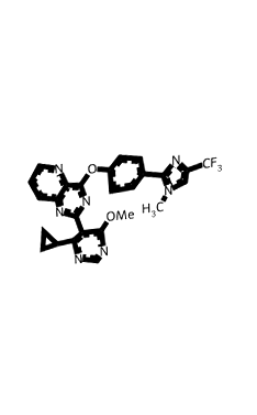 COc1ncnc(C2CC2)c1-c1nc(Oc2ccc(-c3nc(C(F)(F)F)cn3C)cc2)c2ncccc2n1